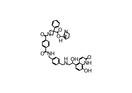 O=C(NCc1ccc(CNCC(O)c2ccc(O)c3[nH]c(=O)ccc23)cc1)c1ccc(C(=O)N2CC(C(=O)O[C@H]3CN4CCC3CC4)(c3ccccc3)C2)cc1